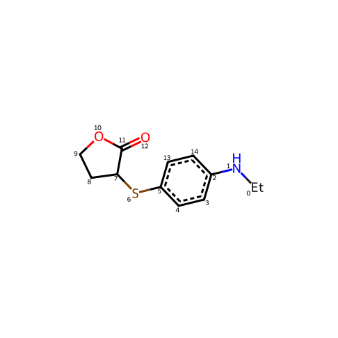 CCNc1ccc(SC2CCOC2=O)cc1